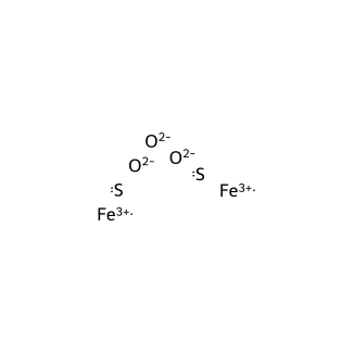 [Fe+3].[Fe+3].[O-2].[O-2].[O-2].[S].[S]